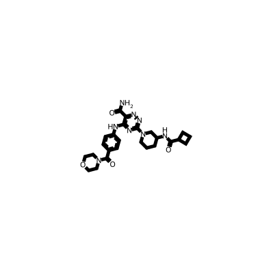 NC(=O)c1nnc(N2CCCC(NC(=O)C3CCC3)C2)nc1Nc1ccc(C(=O)N2CCOCC2)cc1